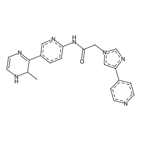 CC1NC=CN=C1c1ccc(NC(=O)Cn2cnc(-c3ccncc3)c2)nc1